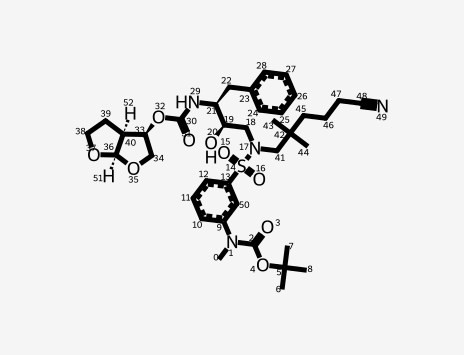 CN(C(=O)OC(C)(C)C)c1cccc(S(=O)(=O)N(C[C@@H](O)[C@H](Cc2ccccc2)NC(=O)O[C@H]2CO[C@H]3OCC[C@H]32)CC(C)(C)CCCC#N)c1